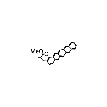 C=C(Cc1ccc2cc3cc4cc5ccccc5cc4cc3cc2c1)C(=O)OC